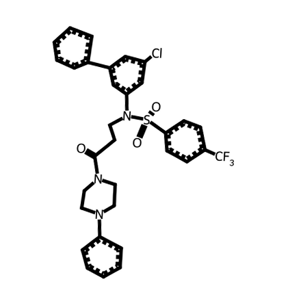 O=C(CCN(c1cc(Cl)cc(-c2ccccc2)c1)S(=O)(=O)c1ccc(C(F)(F)F)cc1)N1CCN(c2ccccc2)CC1